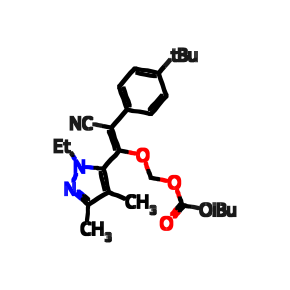 CCn1nc(C)c(C)c1/C(OCOC(=O)OCC(C)C)=C(\C#N)c1ccc(C(C)(C)C)cc1